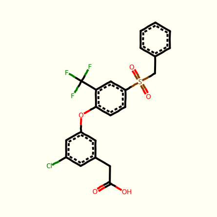 O=C(O)Cc1cc(Cl)cc(Oc2ccc(S(=O)(=O)Cc3ccccc3)cc2C(F)(F)F)c1